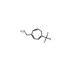 NCC1=CC=C(C(F)(F)F)CC=C1